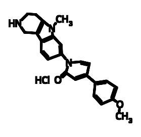 COc1ccc(-c2ccn(-c3ccc4c5c(n(C)c4c3)CCNC5)c(=O)c2)cc1.Cl